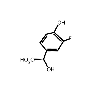 O=C(O)[C@H](O)c1ccc(O)c(F)c1